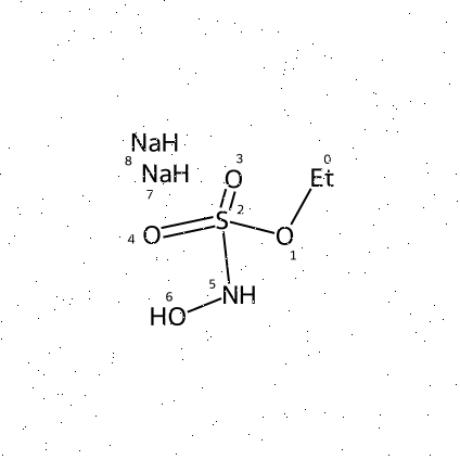 CCOS(=O)(=O)NO.[NaH].[NaH]